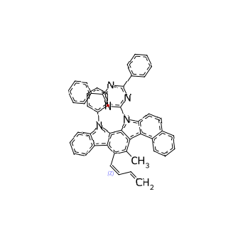 C=C/C=C\c1c(C)c2c3c4ccccc4ccc3n(-c3nc(-c4ccccc4)nc(-c4ccccc4)n3)c2c2c1c1ccccc1n2-c1ccccc1